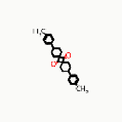 Cc1ccc(C2CCC3(CC2)C(=O)C2(CCC(c4ccc(C)cc4)CC2)C3=O)cc1